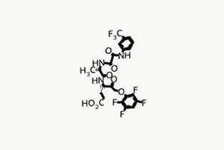 C[C@H](NC(=O)C(=O)Nc1cccc(C(F)(F)F)c1)C(=O)N[C@@H](CCC(=O)O)C(=O)COc1c(F)c(F)cc(F)c1F